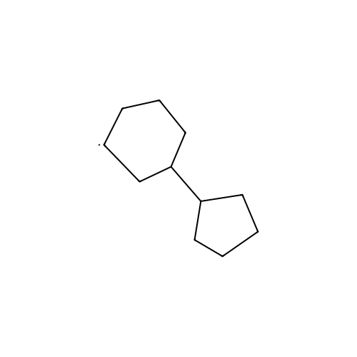 [CH]1CCCC(C2CCCC2)C1